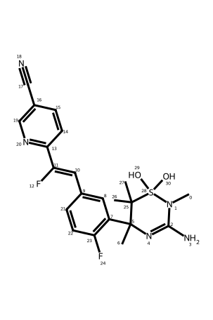 CN1C(N)=NC(C)(c2cc(C=C(F)c3ccc(C#N)cn3)ccc2F)C(C)(C)S1(O)O